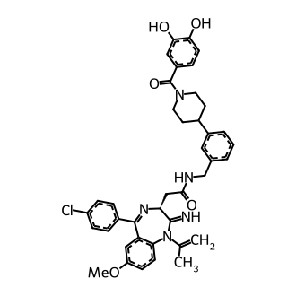 C=C(C)N1C(=N)[C@H](CC(=O)NCc2cccc(C3CCN(C(=O)c4ccc(O)c(O)c4)CC3)c2)N=C(c2ccc(Cl)cc2)c2cc(OC)ccc21